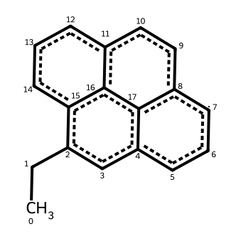 CCc1cc2cc[c]c3ccc4cccc1c4c32